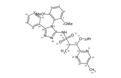 COc1cccc(OC)c1-n1c(NS(=O)(=O)C(C)C(OC(C)C)c2ncc(C)cn2)nnc1-c1ccccc1